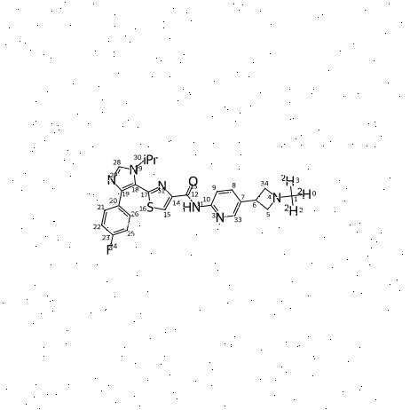 [2H]C([2H])([2H])N1CC(c2ccc(NC(=O)c3csc(-c4c(-c5ccc(F)cc5)ncn4C(C)C)n3)nc2)C1